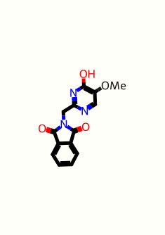 COc1cnc(CN2C(=O)c3ccccc3C2=O)nc1O